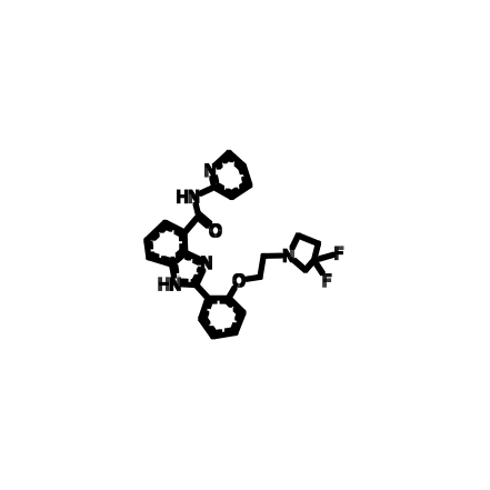 O=C(Nc1ccccn1)c1cccc2[nH]c(-c3ccccc3OCCN3CCC(F)(F)C3)nc12